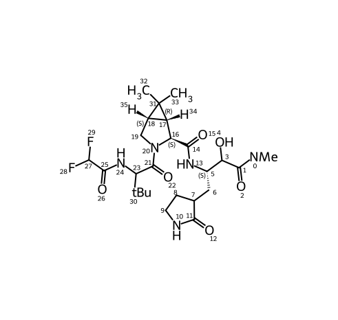 CNC(=O)C(O)[C@H](CC1CCNC1=O)NC(=O)[C@@H]1[C@@H]2[C@H](CN1C(=O)C(NC(=O)C(F)F)C(C)(C)C)C2(C)C